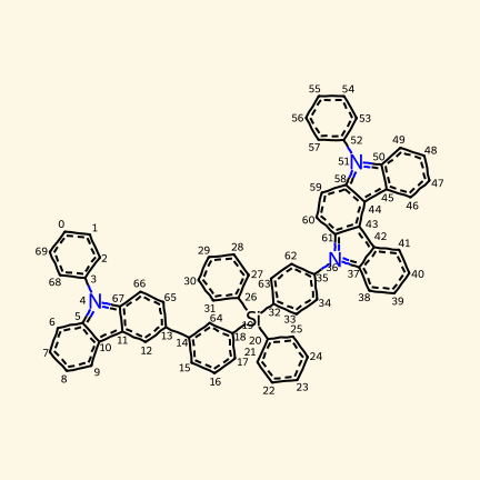 c1ccc(-n2c3ccccc3c3cc(-c4cccc([Si](c5ccccc5)(c5ccccc5)c5ccc(-n6c7ccccc7c7c8c9ccccc9n(-c9ccccc9)c8ccc76)cc5)c4)ccc32)cc1